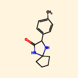 Cc1ccc(C2NC3(CCCC3)NC2=O)cc1